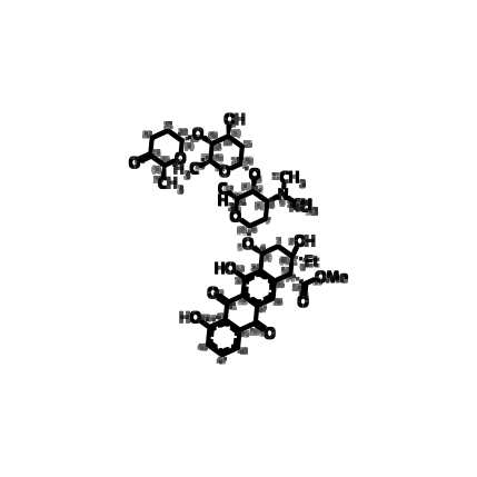 CC[C@@]1(O)C[C@H](O[C@H]2C[C@H](N(C)C)[C@H](O[C@H]3C[C@H](O)[C@H](O[C@H]4CCC(=O)[C@H](C)O4)[C@H](C)O3)[C@H](C)O2)c2c(cc3c(c2O)C(=O)c2c(O)cccc2C3=O)[C@H]1C(=O)OC.Cl